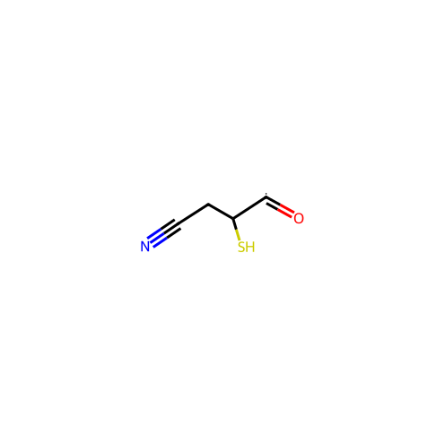 N#CCC(S)[C]=O